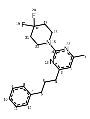 Cc1cc(CCCc2ccccc2)nc(N2CCC(F)(F)CC2)n1